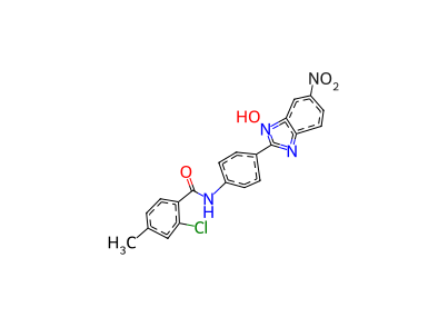 Cc1ccc(C(=O)Nc2ccc(-c3nc4ccc([N+](=O)[O-])cc4n3O)cc2)c(Cl)c1